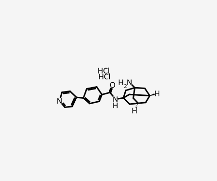 Cl.Cl.NC12C[C@H]3C[C@@H](C1)CC(NC(=O)c1ccc(-c4ccncc4)cc1)(C3)C2